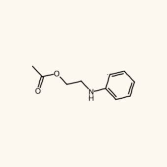 CC(=O)OCCNc1[c]cccc1